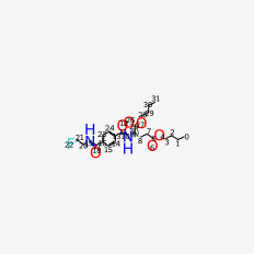 CCCCOC(=O)CC[C@H](NC(=O)c1ccc(C(=O)NCCF)cc1)C(=O)OCCCC